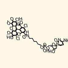 COc1c2oc3c(OC)c(O)c(Cl)cc3c(-c3c(Cl)c(C(=O)NCCCCCCOP(=O)(O)OC[C@H]4O[C@@H](n5ccc(N)nc5=O)C[C@H]4O)cc(Cl)c3C(=O)O)c-2cc(Cl)c1=O